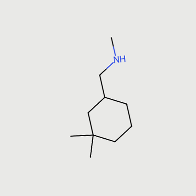 CNCC1CCCC(C)(C)C1